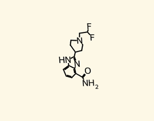 NC(=O)c1cccc2[nH]c(C3CCN(CC(F)F)CC3)nc12